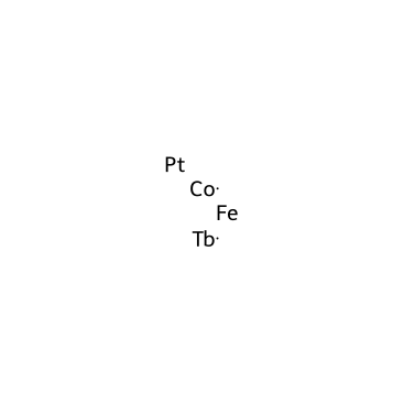 [Co].[Fe].[Pt].[Tb]